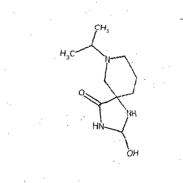 CC(C)N1CCCC2(C1)NC(O)NC2=O